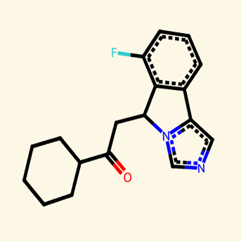 O=C(CC1c2c(F)cccc2-c2cncn21)C1CCCCC1